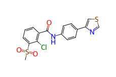 CS(=O)(=O)c1cccc(C(=O)Nc2ccc(-c3cscn3)cc2)c1Cl